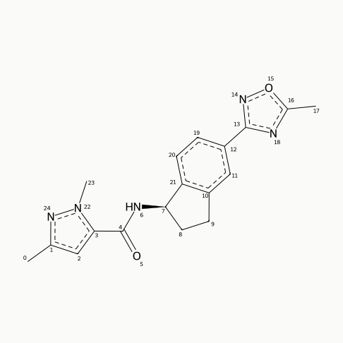 Cc1cc(C(=O)N[C@@H]2CCc3cc(-c4noc(C)n4)ccc32)n(C)n1